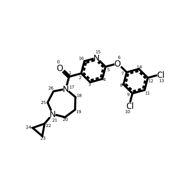 O=C(c1ccc(Oc2cc(Cl)cc(Cl)c2)nc1)N1CCCN(C2CC2)CC1